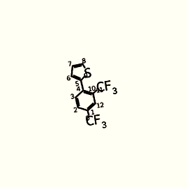 FC(F)(F)c1ccc(-c2cccs2)c(C(F)(F)F)c1